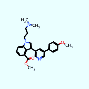 COC(=O)c1cccc2c1c(-c1cncc(-c3ccc(OC)cc3)c1)cn2CCCN(C)C